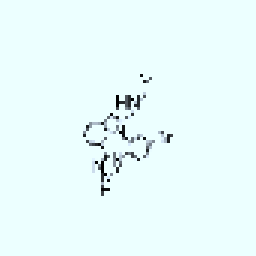 Brc1ccc2c(c1)n1c(CNCC3CC3)cc3cccc(c4n2CNN=4)c31